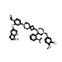 COc1ccc(CN2CCN(C3CC4(CCN(c5ccc(C=O)c(Oc6cnc7[nH]ccc7c6)c5)CC4)C3)C(c3ccccc3C(C)C)C2)cc1Cl